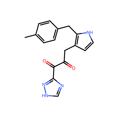 Cc1ccc(Cc2[nH]ccc2CC(=O)C(=O)c2nc[nH]n2)cc1